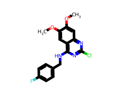 COc1cc2nc(Cl)nc(NCc3ccc(F)cc3)c2cc1OC